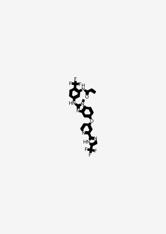 C=CC(=O)Nc1cc(Nc2nc3cc(Oc4ccnc(-c5ncc(C(F)(F)F)[nH]5)c4)ccc3n2C)ccc1C(F)(F)F